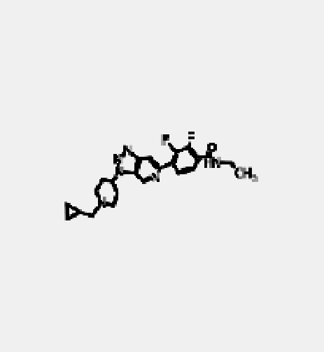 CCNC(=O)c1ccc(-c2cc3nnn(C4CCN(CC5CC5)CC4)c3cn2)c(F)c1F